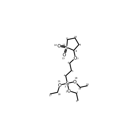 CCO[Si](CCCOC1CCCS1(=O)=O)(OCC)OCC